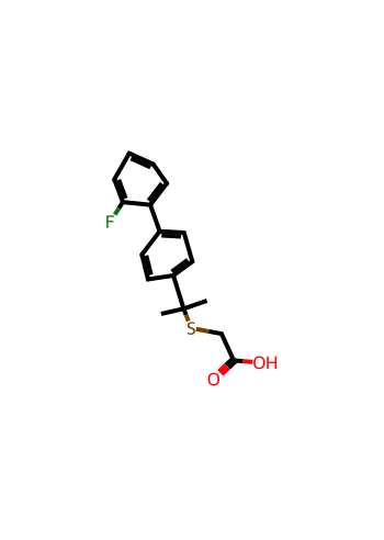 CC(C)(SCC(=O)O)c1ccc(-c2ccccc2F)cc1